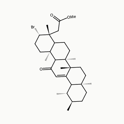 COC(=O)C[C@]1(C)C2CC[C@]3(C)C(C(=O)C=C4C5[C@@H](C)[C@H](C)CC[C@]5(C)CC[C@]43C)[C@@]2(C)CC[C@@H]1Br